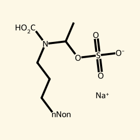 CCCCCCCCCCCCN(C(=O)O)C(C)OS(=O)(=O)[O-].[Na+]